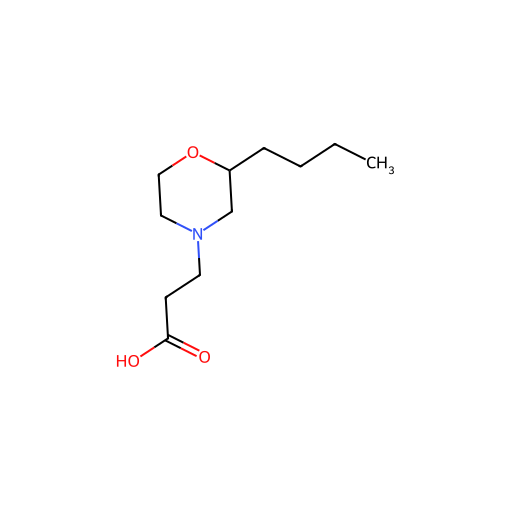 CCCCC1CN(CCC(=O)O)CCO1